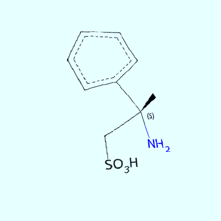 C[C@@](N)(CS(=O)(=O)O)c1ccccc1